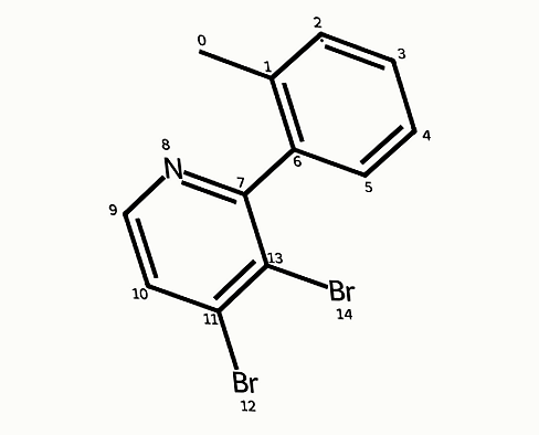 Cc1[c]cccc1-c1nccc(Br)c1Br